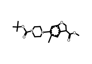 COC(=O)C1COc2cc(N3CCN(C(=O)OC(C)(C)C)CC3)c(C)cc21